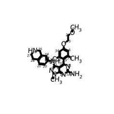 COCCOc1cc(C)c(-c2nc(N)nc3c2c(Nc2ccc4c(c2)CNCC4)nn3C)c(C)c1